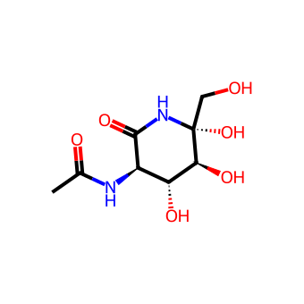 CC(=O)N[C@H]1C(=O)N[C@@](O)(CO)[C@@H](O)[C@@H]1O